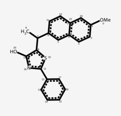 COc1ccc2cc(C(C)c3sc(-c4ccccc4)nc3O)ccc2c1